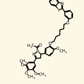 COc1ccc(C2CC(c3cc(OC)c(OC)c(OC)c3)=NN2C(C)=O)cc1OCCCCCCOc1cccc(-c2nc3ccccc3s2)c1